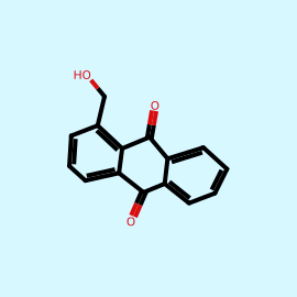 O=C1c2ccccc2C(=O)c2c(CO)cccc21